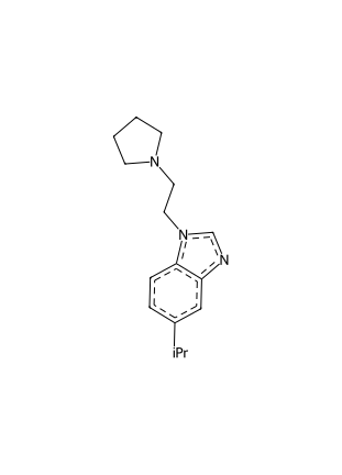 CC(C)c1ccc2c(c1)ncn2CCN1CCCC1